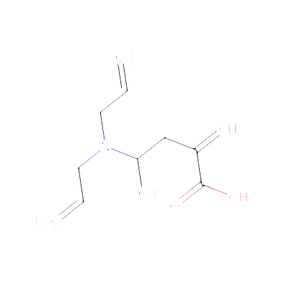 C=CCN(CC=C)C(C)CC(=C)C(=O)O